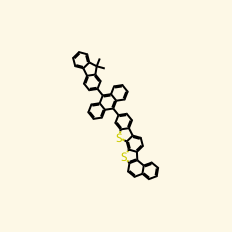 CC1(C)c2ccccc2-c2ccc(-c3c4ccccc4c(-c4ccc5c(c4)sc4c5ccc5c4sc4ccc6ccccc6c45)c4ccccc34)cc21